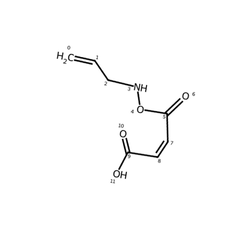 C=CCNOC(=O)/C=C\C(=O)O